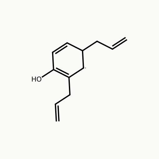 C=CCC1=C(O)C=CC(CC=C)[CH]1